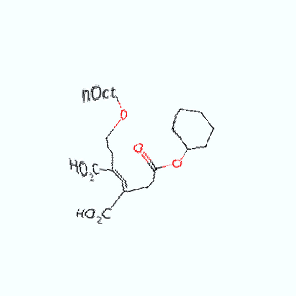 CCCCCCCCOCCC(C(=O)O)=C(CC(=O)OC1CCCCC1)C(=O)O